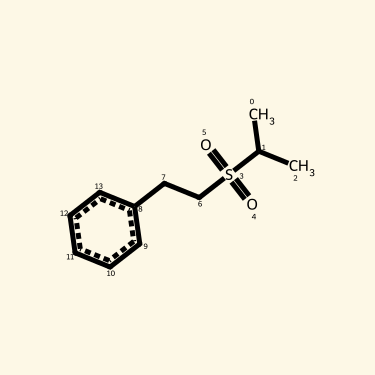 CC(C)S(=O)(=O)CCc1ccccc1